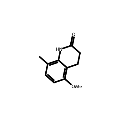 COc1ccc(C)c2c1CCC(=O)N2